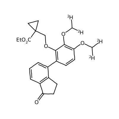 [2H]C([2H])Oc1ccc(-c2cccc3c2CCC3=O)c(OCC2(C(=O)OCC)CC2)c1OC([2H])[2H]